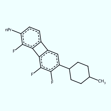 CCCc1ccc2c(c1F)-c1c-2cc(C2CCC(C)CC2)c(F)c1F